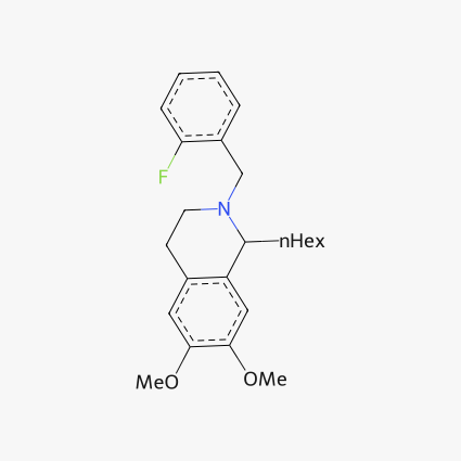 CCCCCCC1c2cc(OC)c(OC)cc2CCN1Cc1ccccc1F